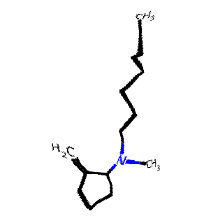 C=C1CCCC1N(C)CCCCCCC